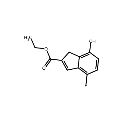 CCOC(=O)C1=Cc2c(F)ccc(O)c2C1